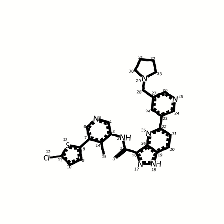 C=C(Nc1cncc(-c2ccc(Cl)s2)c1C)c1n[nH]c2ccc(-c3cncc(CN4CCCC4)c3)nc12